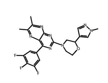 Cc1nc2nc(N3CCOC(c4cnn(C)c4)C3)nc(-c3cc(F)c(F)c(F)c3)c2nc1C